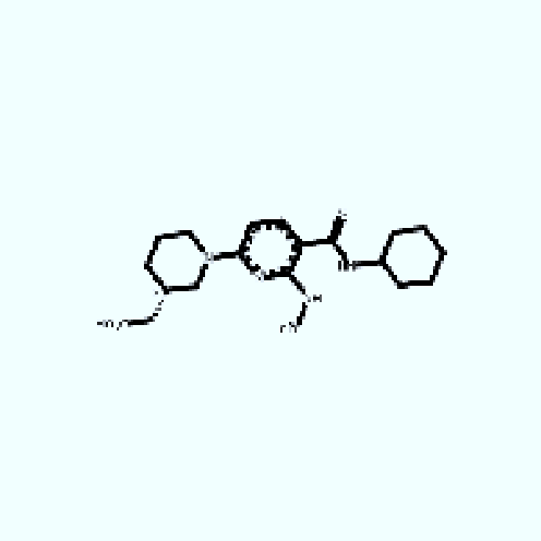 CCCNc1nc(N2CCC[C@@H](CC(=O)O)C2)ccc1C(=O)NC1CCCCC1